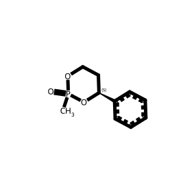 CP1(=O)OCC[C@@H](c2ccccc2)O1